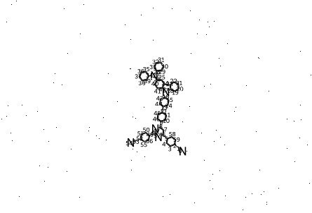 N#Cc1ccc(-c2cc(-c3ccc(-c4ccc(-n5c6ccccc6c6cc(N(c7ccccc7)c7ccccc7)ccc65)cc4)cc3)nc(-c3ccc(C#N)cc3)n2)cc1